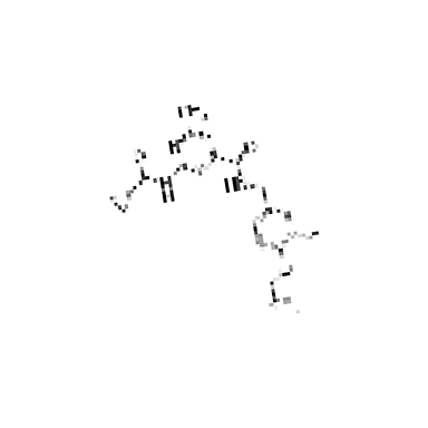 Cc1cc(C(=O)NCc2cnc(OCC(F)(F)F)c(F)c2)cc(NC(=O)C2CC2)n1